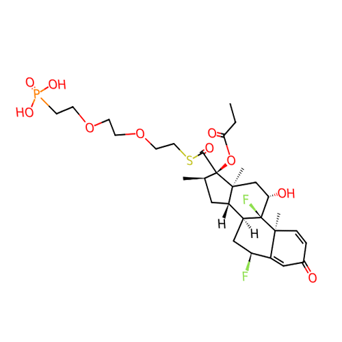 CCC(=O)O[C@]1(C(=O)SCCOCCOCCP(=O)(O)O)[C@H](C)C[C@H]2[C@@H]3C[C@H](F)C4=CC(=O)C=C[C@]4(C)[C@@]3(F)[C@@H](O)C[C@@]21C